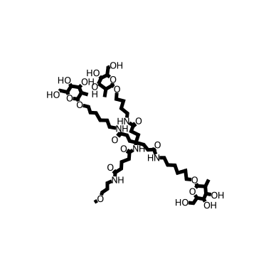 COCCCNC(=O)CCCC(=O)NC(CCC(=O)NCCCCCCOC1OC(CO)C(O)C(O)C1C)(CCC(=O)NCCCCCCOC1OC(CO)C(O)C(O)C1C)CCC(=O)NCCCCOC1OC(CO)C(O)C(O)C1C